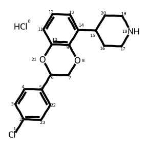 Cl.Clc1ccc(C2COc3c(cccc3C3CCNCC3)O2)cc1